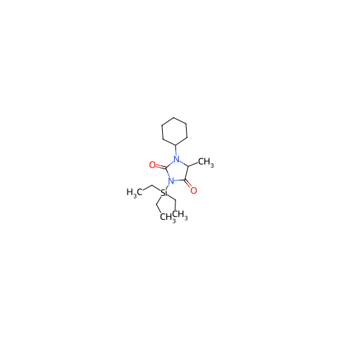 CC[Si](CC)(CC)N1C(=O)C(C)N(C2CCCCC2)C1=O